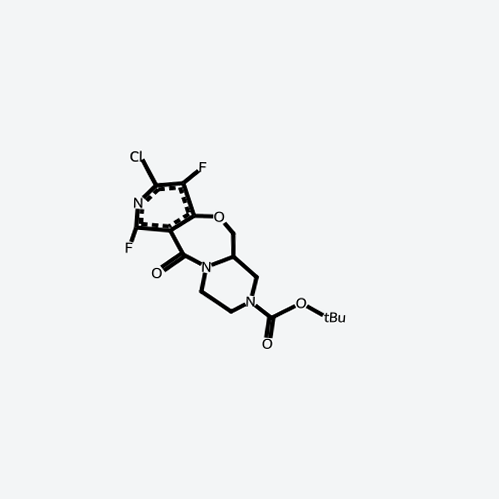 CC(C)(C)OC(=O)N1CCN2C(=O)c3c(F)nc(Cl)c(F)c3OCC2C1